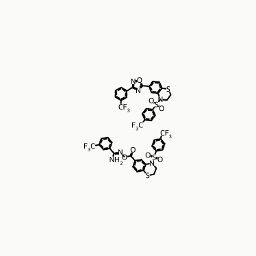 NC(=NOC(=O)c1ccc2c(c1)N(S(=O)(=O)c1ccc(C(F)(F)F)cc1)CCS2)c1cccc(C(F)(F)F)c1.O=S(=O)(c1ccc(C(F)(F)F)cc1)N1CCSc2ccc(-c3nc(-c4cccc(C(F)(F)F)c4)no3)cc21